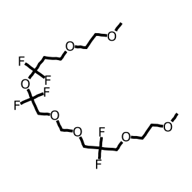 COCCOCCC(F)(F)OC(F)(F)COCOCC(F)(F)COCCOC